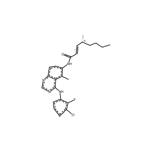 CCCC[C@@H](C)/C=C/C(=O)Nc1ccc2ncnc(Nc3cccc(Cl)c3F)c2c1C